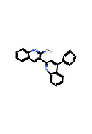 Nc1nc2ccccc2cc1-c1cc(-c2ccccc2)c2ccccc2n1